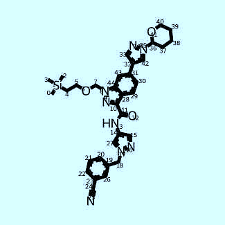 C[Si](C)(C)CCOCn1nc(C(=O)Nc2cnn(Cc3cccc(C#N)c3)c2)c2ccc(-c3cnn(C4CCCCO4)c3)cc21